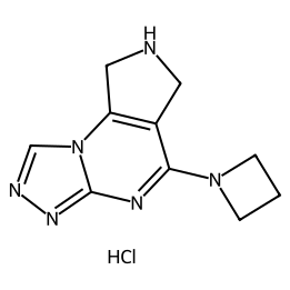 Cl.c1nnc2nc(N3CCC3)c3c(n12)CNC3